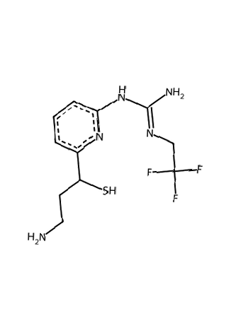 NCCC(S)c1cccc(NC(N)=NCC(F)(F)F)n1